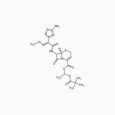 CON=C(C(=O)NC1C(=O)N2C(C(=O)OC(C)OC(=O)C(C)(C)C)=CCS[C@@H]12)c1csc(N)n1